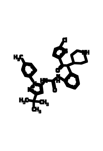 Cc1ccc(-n2nc(C(C)(C)C)cc2NC(=O)Nc2ccccc2C(C(=O)c2ccc(Cl)s2)C2CCNCC2)cc1